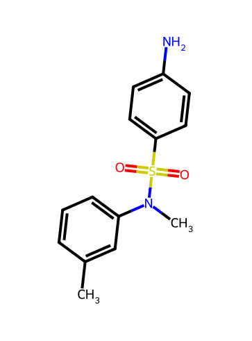 Cc1cccc(N(C)S(=O)(=O)c2ccc(N)cc2)c1